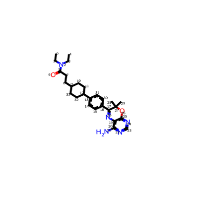 CCN(CC)C(=O)CCC1CCC(c2ccc(C3=Nc4c(N)ncnc4OC3(C)C)cc2)CC1